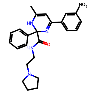 CC1=CC(c2cccc([N+](=O)[O-])c2)=NC(C(=O)NCCN2CCCC2)(c2ccccc2)N1